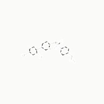 CCc1ccc(S(=O)(=O)Nc2ccc(-c3ccc(Cl)cc3Cl)cn2)cc1